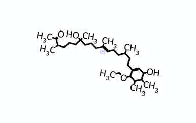 CCOC1C(CCC(C)CC/C=C(\C)CCCC(C)(O)CCCC(C)C(C)=O)=CC(O)C(C)C1C